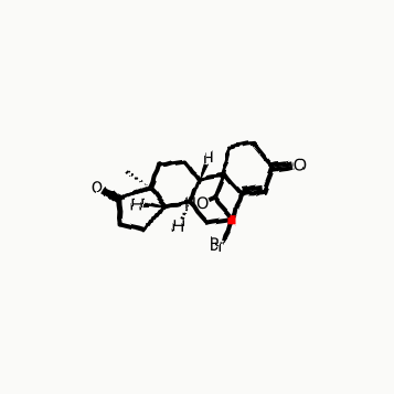 C[C@]12CC[C@H]3[C@@H](CCC4=CC(=O)CCC43C(O)CBr)[C@@H]1CCC2=O